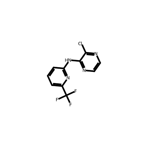 FC(F)(F)c1cccc(Nc2nccnc2Cl)n1